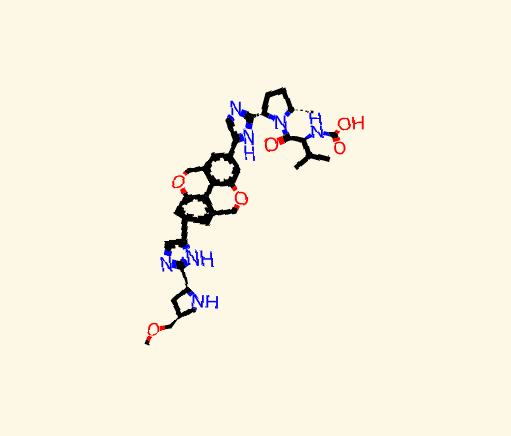 COC[C@@H]1CN[C@H](c2ncc(-c3cc4c5c(c3)OCc3cc(-c6cnc([C@@H]7CC[C@H](C)N7C(=O)[C@@H](NC(=O)O)C(C)C)[nH]6)cc(c3-5)OC4)[nH]2)C1